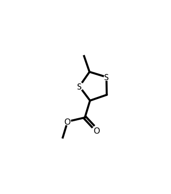 COC(=O)C1CSC(C)S1